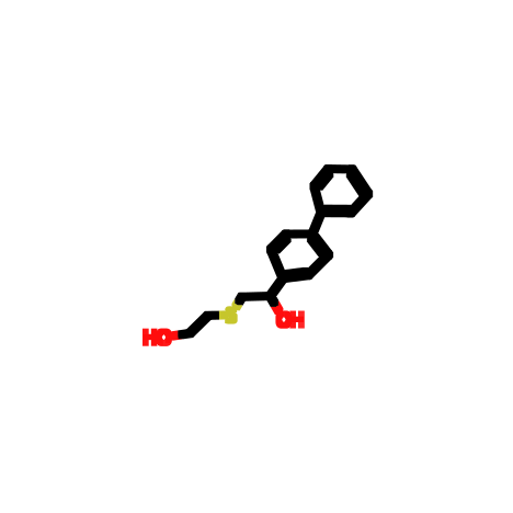 OCCSCC(O)c1ccc(-c2ccccc2)cc1